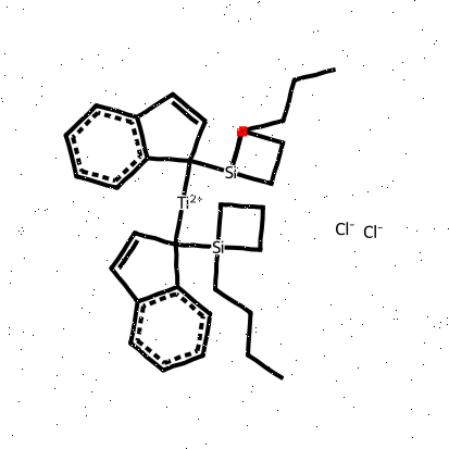 CCCC[Si]1([C]2([Ti+2][C]3([Si]4(CCCC)CCC4)C=Cc4ccccc43)C=Cc3ccccc32)CCC1.[Cl-].[Cl-]